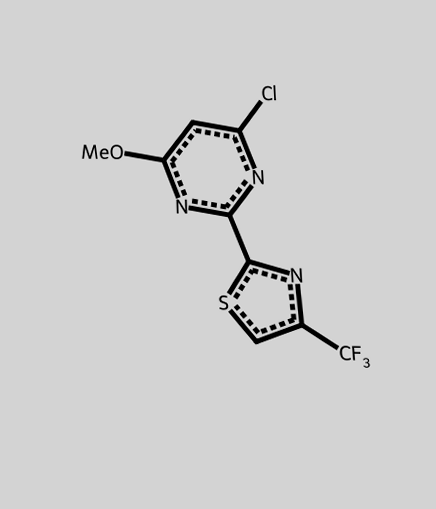 COc1cc(Cl)nc(-c2nc(C(F)(F)F)cs2)n1